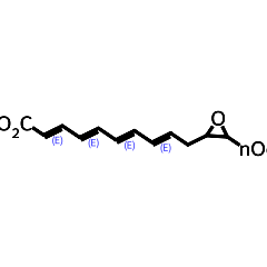 CCCCCCCCC1OC1C/C=C/C=C/C=C/C=C/C(=O)O